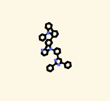 c1ccc(-c2cc(-c3cccc(-n4c5cc(-c6cccc7c8ccccc8n(-c8ccccc8)c67)ccc5c5ncccc54)c3)nc(-c3ccccc3)n2)cc1